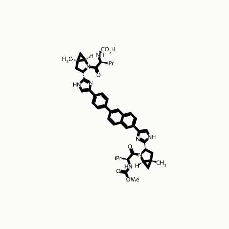 COC(=O)N[C@H](C(=O)N1[C@H](c2nc(-c3ccc4cc(-c5ccc(-c6c[nH]c([C@@H]7C[C@@]8(C)C[C@H]8N7C(=O)[C@@H](NC(=O)O)C(C)C)n6)cc5)ccc4c3)c[nH]2)C[C@]2(C)C[C@@H]12)C(C)C